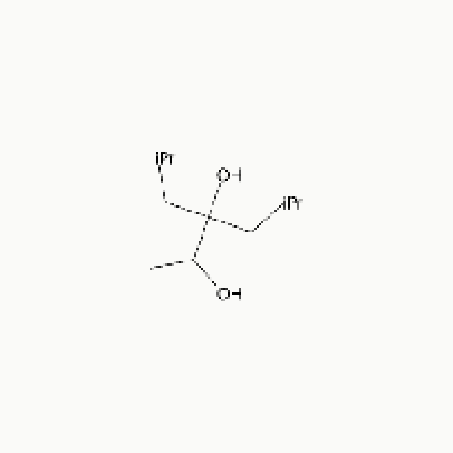 CC(C)CC(O)(CC(C)C)C(C)O